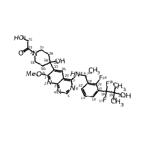 COc1nc2ncnc(N[C@H](C)c3cccc(C(F)(F)C(C)(C)O)c3F)c2cc1C1(O)CCN(C(=O)CO)CC1